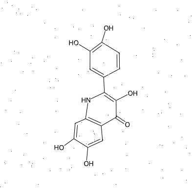 O=c1c(O)c(-c2ccc(O)c(O)c2)[nH]c2cc(O)c(O)cc12